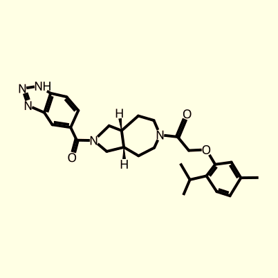 Cc1ccc(C(C)C)c(OCC(=O)N2CC[C@@H]3CN(C(=O)c4ccc5[nH]nnc5c4)C[C@@H]3CC2)c1